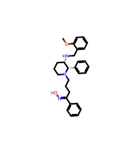 COc1ccccc1CN[C@H]1CCCN(CCCC(=NO)c2ccccc2)[C@H]1c1ccccc1